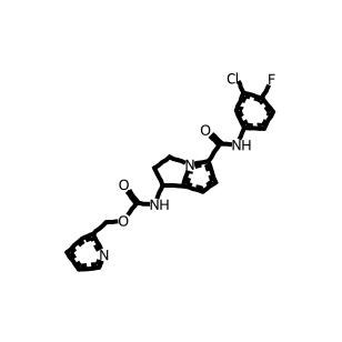 O=C(NC1CCn2c(C(=O)Nc3ccc(F)c(Cl)c3)ccc21)OCc1ccccn1